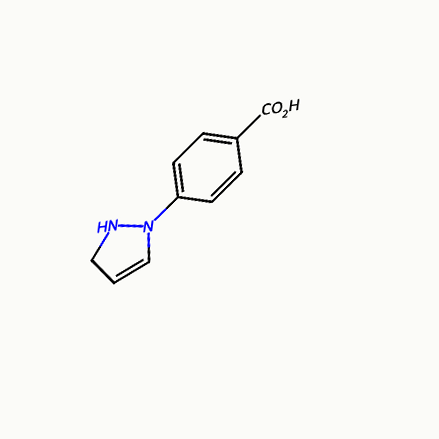 O=C(O)c1ccc(N2C=CCN2)cc1